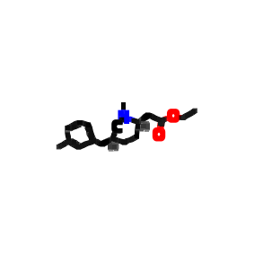 CCOC(=O)C[C@H]1CC[C@@H](Cc2cccc(C)c2)CN1C